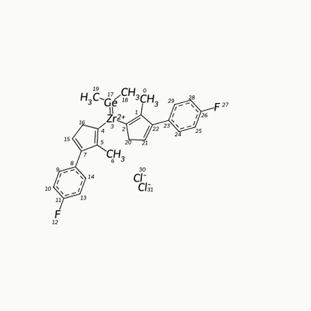 CC1=[C]([Zr+2]([C]2=C(C)C(c3ccc(F)cc3)=CC2)=[Ge]([CH3])[CH3])CC=C1c1ccc(F)cc1.[Cl-].[Cl-]